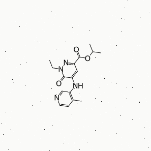 CCn1nc(C(=O)OC(C)C)cc(Nc2cnccc2C)c1=O